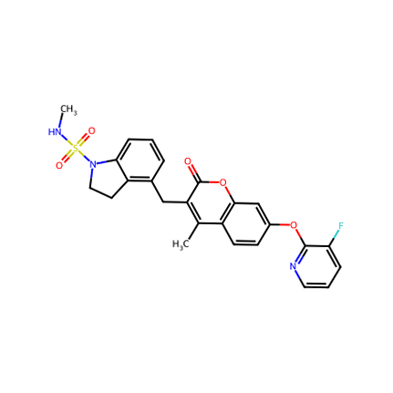 CNS(=O)(=O)N1CCc2c(Cc3c(C)c4ccc(Oc5ncccc5F)cc4oc3=O)cccc21